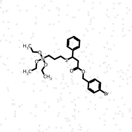 CCO[Si](CCCSC(CC(=O)OCc1ccc(Br)cc1)c1ccccc1)(OCC)OCC